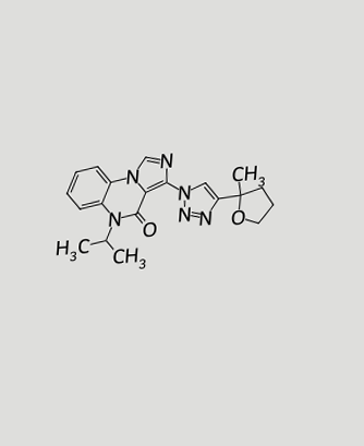 CC(C)n1c(=O)c2c(-n3cc(C4(C)CCCO4)nn3)ncn2c2ccccc21